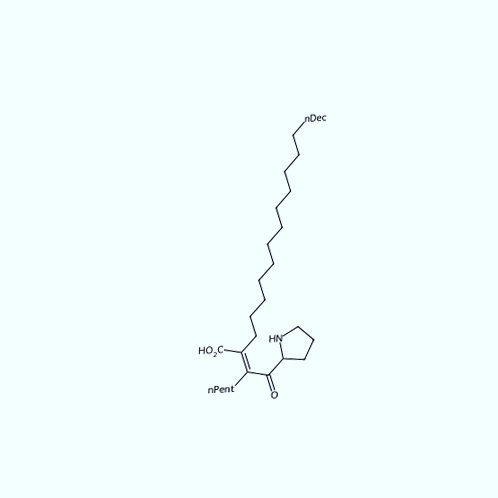 CCCCCCCCCCCCCCCCCCCCCCC(C(=O)O)=C(CCCCC)C(=O)C1CCCN1